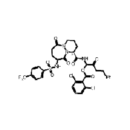 CC(C)CCC(=O)C(NC(=O)[C@@H]1CCCN2C(=O)CCC(NS(=O)(=O)c3ccc(C(F)(F)F)cc3)C(=O)N12)OC(=O)c1c(Cl)cccc1Cl